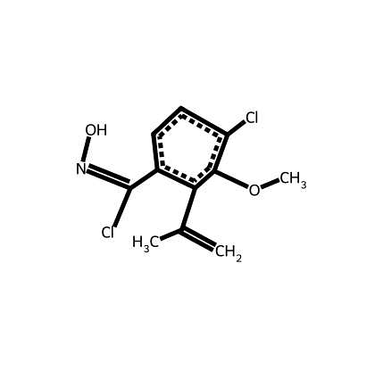 C=C(C)c1c(/C(Cl)=N\O)ccc(Cl)c1OC